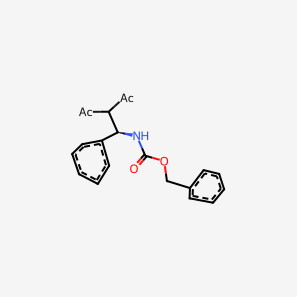 CC(=O)C(C(C)=O)[C@@H](NC(=O)OCc1ccccc1)c1ccccc1